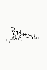 Cc1cc(C)n(-c2cc(NC(=O)NCc3ccc(/C=C/C(=O)NO)cc3)nc(-c3ccccn3)n2)n1